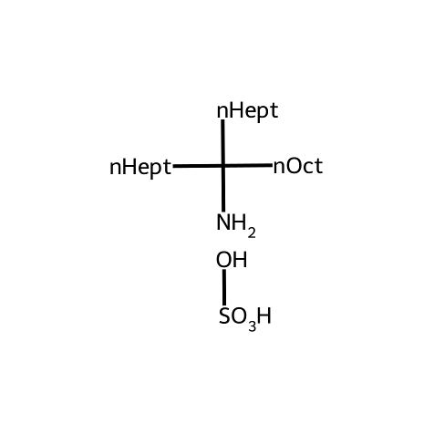 CCCCCCCCC(N)(CCCCCCC)CCCCCCC.O=S(=O)(O)O